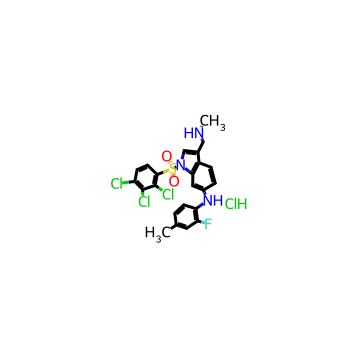 CNCc1cn(S(=O)(=O)c2ccc(Cl)c(Cl)c2Cl)c2cc(Nc3ccc(C)cc3F)ccc12.Cl